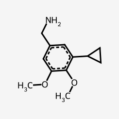 COc1cc(CN)cc(C2CC2)c1OC